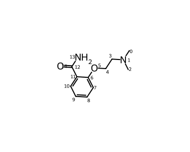 CN(C)CCOc1ccccc1C(N)=O